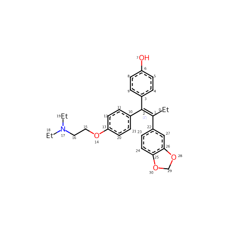 CC/C(=C(\c1ccc(O)cc1)c1ccc(OCCN(CC)CC)cc1)c1ccc2c(c1)OCO2